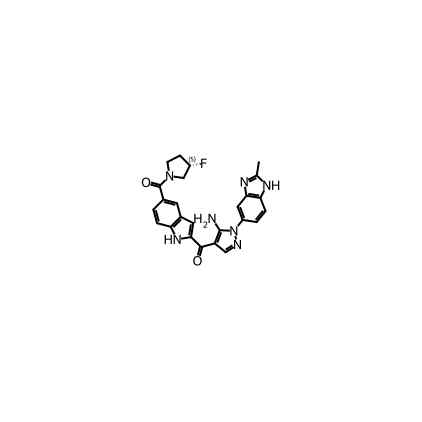 Cc1nc2cc(-n3ncc(C(=O)c4cc5cc(C(=O)N6CC[C@H](F)C6)ccc5[nH]4)c3N)ccc2[nH]1